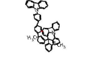 CSc1ccccc1C1(C2=CC(C)(c3ccc(-c4ccc(-n5c6ccccc6c6ccccc65)cc4)cc3)CC=C2)c2ccccc2-n2c3ccccc3c3cccc1c32